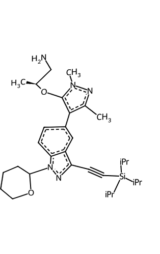 Cc1nn(C)c(O[C@@H](C)CN)c1-c1ccc2c(c1)c(C#C[Si](C(C)C)(C(C)C)C(C)C)nn2C1CCCCO1